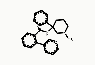 CN1CCCC(NC(=O)c2ccccc2-c2cccnc2)(c2ccccc2)C1